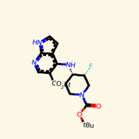 CCOC(=O)c1cnc2[nH]ccc2c1N[C@H]1CCN(C(=O)OC(C)(C)C)C[C@H]1F